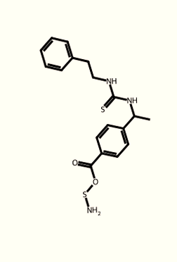 CC(NC(=S)NCCc1ccccc1)c1ccc(C(=O)OSN)cc1